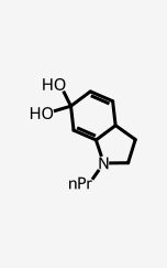 CCCN1CCC2C=CC(O)(O)C=C21